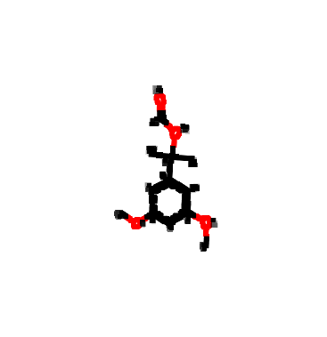 COc1cc(OC)cc(C(C)(C)O[C]=O)c1